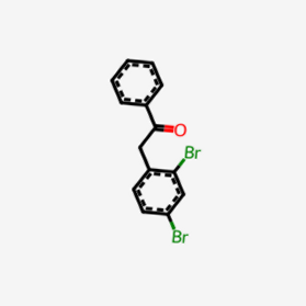 O=C(Cc1ccc(Br)cc1Br)c1ccccc1